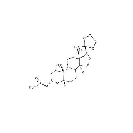 CC(=O)O[C@@H]1CC[C@]2(C)C3CC[C@]4(C)[C@@H](C5(C)OCCO5)CC[C@H]4C3CC[C@@H]2C1